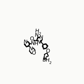 BN1CC(Oc2ccc(-c3cnc(N)c(C(=O)Nc4cnccc4N4CCOCC4)n3)cc2)C1